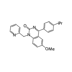 COc1ccc2c(c1)c(-c1ccc(C(C)C)cc1)nc(=O)n2Cc1ccccn1